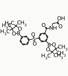 CC1(C)OB(c2cccc(S(=O)(=O)c3cc(B4OC(C)(C)C(C)(C)O4)cc(C(=O)NCC(=O)O)c3)c2)OC1(C)C